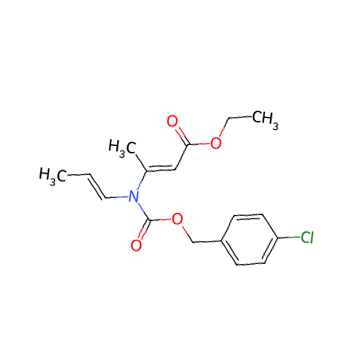 CC=CN(C(=O)OCc1ccc(Cl)cc1)C(C)=CC(=O)OCC